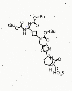 CC(C)(C)OC(=O)/N=C(/NC(=O)OC(C)(C)C)N1CC(N(Cc2nnc([C@@H]3CC[C@H]4CN3C(=O)N4OS(=O)(=O)O)o2)C(=O)OC(C)(C)C)C1